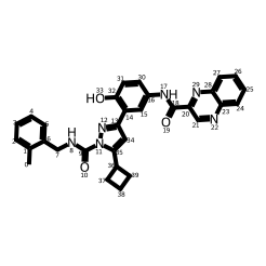 Cc1ccccc1CNC(=O)n1nc(-c2cc(NC(=O)c3cnc4ccccc4n3)ccc2O)cc1C1CCC1